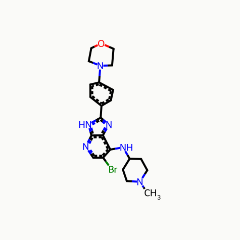 CN1CCC(Nc2c(Br)cnc3[nH]c(-c4ccc(N5CCOCC5)cc4)nc23)CC1